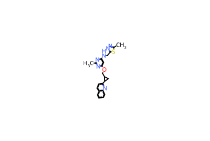 Cc1nc(NCc2nnc(C)s2)cc(OCC2CC2c2ccc3ccccc3n2)n1